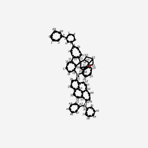 c1ccc(-c2cccc(-c3ccc4c(c3)-c3cccc(N(c5ccccc5)c5ccc6ccc7c(N(c8ccccc8)c8ccccc8)ccc8ccc5c6c87)c3C43C4CC5CC(C4)CC3C5)c2)cc1